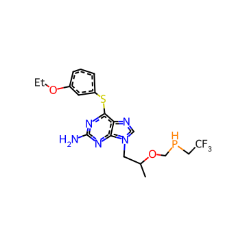 CCOc1cccc(Sc2nc(N)nc3c2ncn3CC(C)OCPCC(F)(F)F)c1